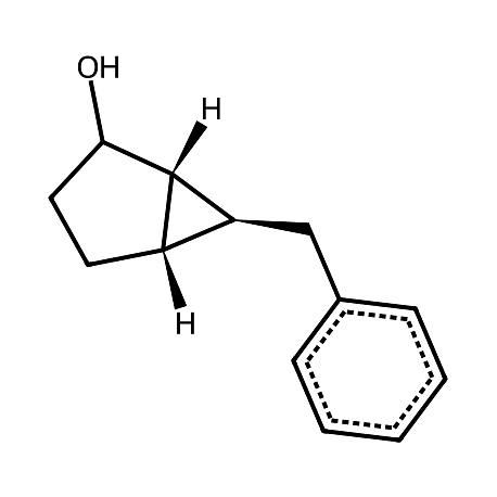 OC1CC[C@H]2[C@H](Cc3ccccc3)[C@@H]12